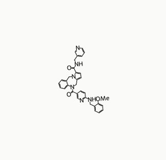 COc1ccccc1CNc1ccc(C(=O)N2Cc3ccc(C(=O)NCc4cccnc4)n3Cc3ccccc32)cn1